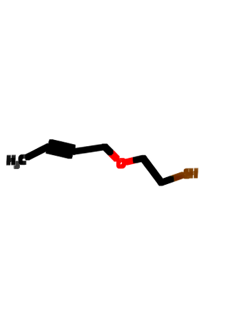 CC#CCOCCS